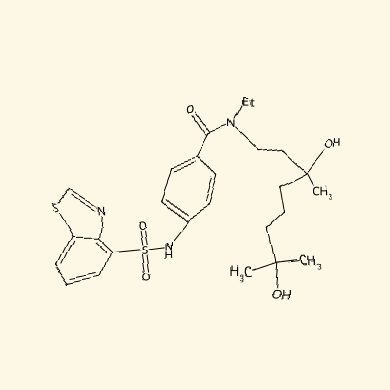 CCN(CCC(C)(O)CCCC(C)(C)O)C(=O)c1ccc(NS(=O)(=O)c2cccc3scnc23)cc1